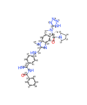 CN(c1nnn[nH]1)[C@@](C)(C(=O)N1CCCC1)c1ccc2c(c1)nc(CNc1ccc(C(=N)NC(=O)c3ccccc3)cc1)n2C